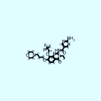 CCn1c(NC(=O)c2cnc(N)nc2)nc2c(OCC(F)(F)F)c(OCCCN3CCOCC3)ccc2c1=O